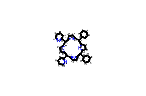 C1=CC2=C(c3ccccc3)C3=NC(=C(c4ccccn4)C4=NC(=C(c5ccccn5)C5=NC(=C(c6ccccc6)C1=N2)C=C5)C=C4)C=C3